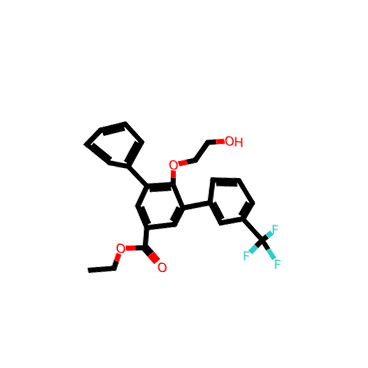 CCOC(=O)c1cc(-c2ccccc2)c(OCCO)c(-c2cccc(C(F)(F)F)c2)c1